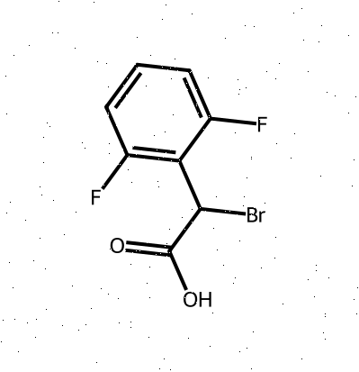 O=C(O)C(Br)c1c(F)cccc1F